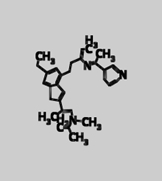 C=C(C)N(C)/C=C(\C)C1=Cc2c(CCC(=C/C)/N=C(\C)c3cccnc3)cc(CC)cc2C1